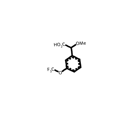 COC(C(=O)O)c1cccc(OC(F)(F)F)c1